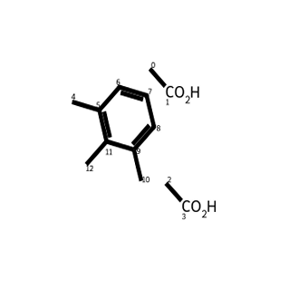 CC(=O)O.CC(=O)O.Cc1cccc(C)c1C